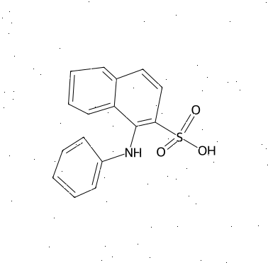 O=S(=O)(O)c1ccc2ccccc2c1Nc1ccccc1